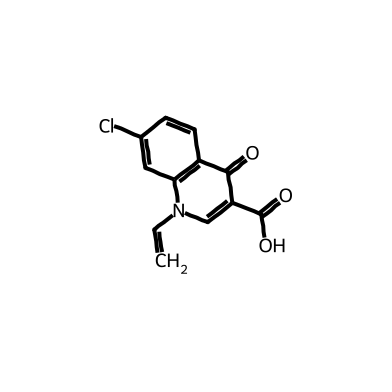 C=Cn1cc(C(=O)O)c(=O)c2ccc(Cl)cc21